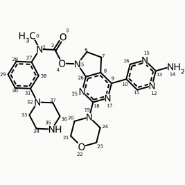 CN(C(=O)ON1CCc2c(-c3cnc(N)nc3)nc(N3CCOCC3)nc21)c1cccc(N2CCNCC2)c1